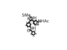 CSc1nc(-c2cccc(NC(=O)C3CCCC3)c2)c(-c2ccnc(NC(C)=O)c2)[nH]1